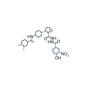 Cc1ccc([C@H](C)Nc2ccc(-c3ccoc3C(=O)NNC(=O)c3ccc(O)c([N+](=O)[O-])c3)cc2)cc1C